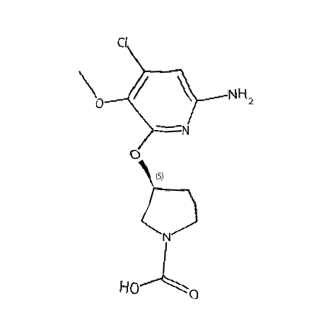 COc1c(Cl)cc(N)nc1O[C@H]1CCN(C(=O)O)C1